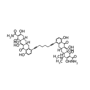 CN(C)[C@@H]1C(O)=C(C(N)=O)C(=O)[C@@]2(O)C(O)=C3C(=O)c4c(O)ccc(C#CCCCCC#Cc5ccc(O)c6c5C[C@H]5C[C@H]7CC(O)=C(C(N)=O)C(=O)[C@@]7(O)C(O)=C5C6=O)c4C[C@H]3C[C@@H]12